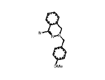 COc1ccc(CN2Cc3ccccc3C(Br)=N2)cc1